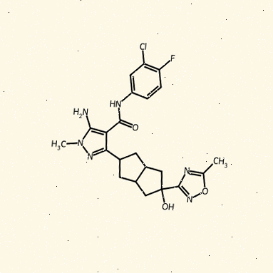 Cc1nc(C2(O)CC3CC(c4nn(C)c(N)c4C(=O)Nc4ccc(F)c(Cl)c4)CC3C2)no1